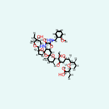 CCC(C(=O)[C@@H](C)[C@@H](O)[C@H](C)[C@@H]1O[C@@H]([C@@H](CC)C(=O)O)CC[C@@H]1C)[C@H]1O[C@]2(C=C[C@@H](NC(=O)C(=O)NCc3ccccc3OC)[C@]3(CC[C@@](C)([C@H]4CC[C@](O)(CC)[C@H](C)O4)O3)O2)[C@H](C)C[C@@H]1C